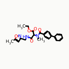 CCOC(=O)C(C(=O)NCc1cc(C)on1)N(C)C(=O)c1ccc(-c2ccccc2)cc1